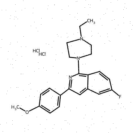 CCN1CCN(c2nc(-c3ccc(OC)cc3)cc3cc(F)ccc23)CC1.Cl.Cl